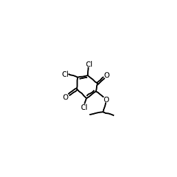 CC(C)OC1=C(Cl)C(=O)C(Cl)=C(Cl)C1=O